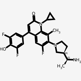 Cc1c(N2CC[C@@H]([C@H](C)N)C2)c(F)cc2c(-c3cc(F)c(O)c(F)c3)cc(=O)n(C3CC3)c12